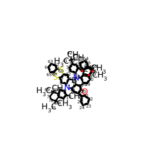 Cc1cc2c(cc1N1c3cc4c(cc3B3c5c1cc1c(oc6ccccc61)c5-c1ccc5c(c1N3c1ccc(C(C)(C)C)cc1-c1ccccc1)-c1ccccc1C5(C)C)Sc1ccccc1S4)C(C)(C)CCC2(C)C